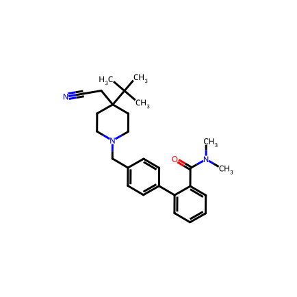 CN(C)C(=O)c1ccccc1-c1ccc(CN2CCC(CC#N)(C(C)(C)C)CC2)cc1